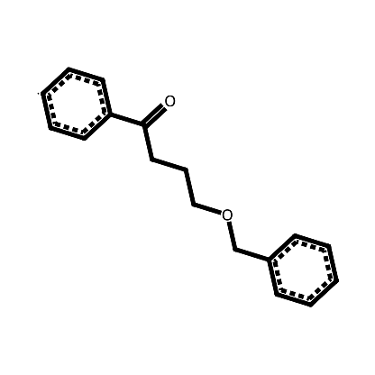 O=C(CCCOCc1ccccc1)c1cc[c]cc1